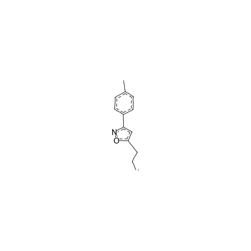 [CH2]CCc1cc(-c2ccc(C)cc2)no1